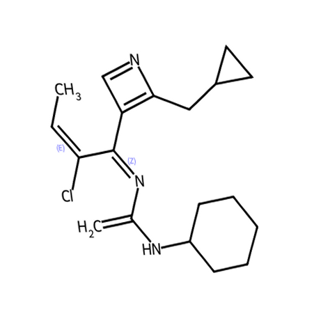 C=C(/N=C(C1=C(CC2CC2)N=C1)\C(Cl)=C/C)NC1CCCCC1